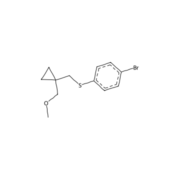 COCC1(CSc2ccc(Br)cc2)CC1